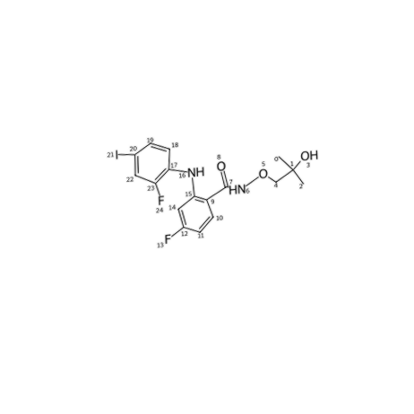 CC(C)(O)CONC(=O)c1ccc(F)cc1Nc1ccc(I)cc1F